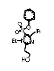 CCn1c(CCO)nc(C(C)C)c1S(=O)(=O)Oc1ccccc1